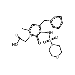 Cc1cc(Cc2ccccc2)c(NS(=O)(=O)N2CCOCC2)c(=O)n1CC(=O)O